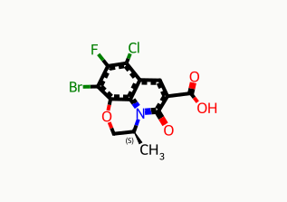 C[C@H]1COc2c(Br)c(F)c(Cl)c3cc(C(=O)O)c(=O)n1c23